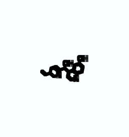 C=CC1CN2CCC1CC2C(O)c1ccnc2ccc(O)cc12